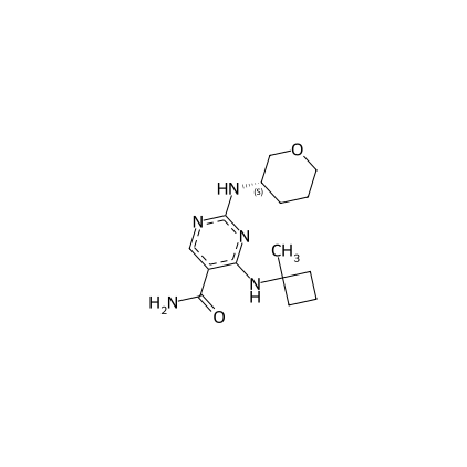 CC1(Nc2nc(N[C@H]3CCCOC3)ncc2C(N)=O)CCC1